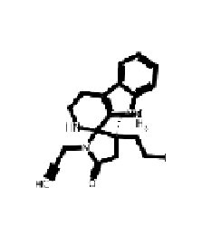 C#CCN1C(=O)C[C@](CC)(CCI)[C@]12NCCc1c2[nH]c2ccccc12